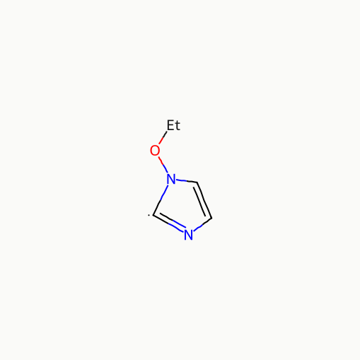 CCOn1[c]ncc1